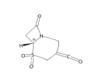 O=C=C1CN2C(=O)C[C@H]2S(=O)(=O)C1